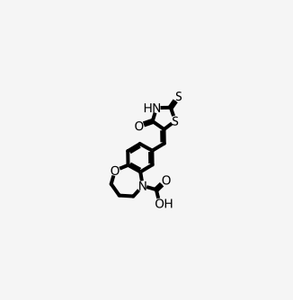 O=C1NC(=S)SC1=Cc1ccc2c(c1)N(C(=O)O)CCCO2